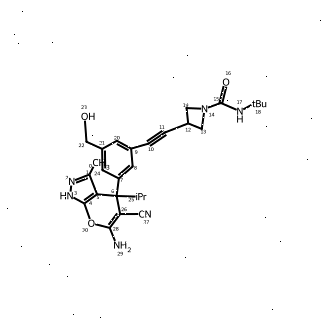 Cc1n[nH]c2c1C(c1cc(C#CC3CN(C(=O)NC(C)(C)C)C3)cc(CO)c1)(C(C)C)C(C#N)=C(N)O2